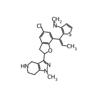 C=Nc1ccsc1/C(=C\C)c1cc(Cl)cc2c1OC(c1nn(C)c3c1CNCC3)C2